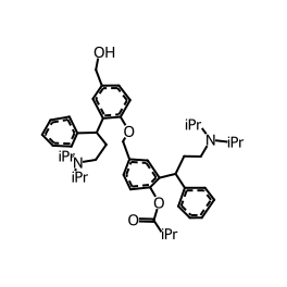 CC(C)C(=O)Oc1ccc(COc2ccc(CO)cc2C(CCN(C(C)C)C(C)C)c2ccccc2)cc1C(CCN(C(C)C)C(C)C)c1ccccc1